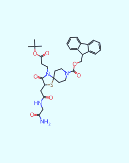 CC(C)(C)OC(=O)CCN1C(=O)C(CC(=O)NCC(N)=O)SC12CCN(C(=O)OCC1c3ccccc3-c3ccccc31)CC2